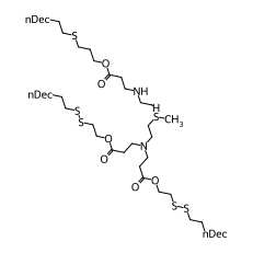 CCCCCCCCCCCCSCCCOC(=O)CCNCC[SH](C)CCN(CCC(=O)OCCSSCCCCCCCCCCCC)CCC(=O)OCCSSCCCCCCCCCCCC